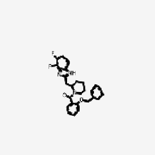 O=C(c1ccccc1OCc1ccccc1)N1CCCCC1Cc1nc2c(F)c(F)ccc2[nH]1